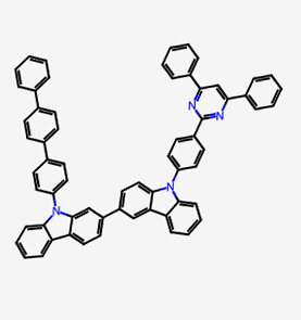 c1ccc(-c2ccc(-c3ccc(-n4c5ccccc5c5ccc(-c6ccc7c(c6)c6ccccc6n7-c6ccc(-c7nc(-c8ccccc8)cc(-c8ccccc8)n7)cc6)cc54)cc3)cc2)cc1